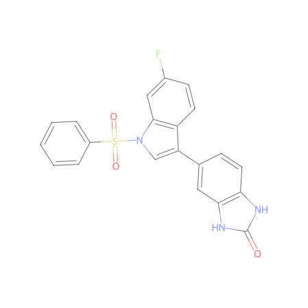 O=c1[nH]c2ccc(-c3cn(S(=O)(=O)c4ccccc4)c4cc(F)ccc34)cc2[nH]1